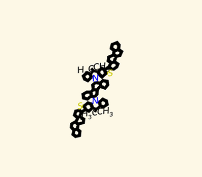 CC1(C)c2ccccc2N(c2cc3c4ccccc4c(N4c5ccccc5C(C)(C)c5cc6c(cc54)sc4ccc5c7ccc8ccccc8c7ccc5c46)cc3c3ccccc23)c2cc3sc4ccc5c6ccc7ccccc7c6ccc5c4c3cc21